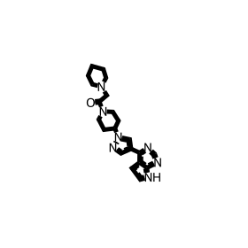 O=C(CN1CCCCC1)N1CCC(n2cc(-c3ncnc4[nH]ccc34)cn2)CC1